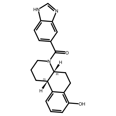 O=C(c1ccc2[nH]cnc2c1)N1CCC[C@H]2c3cccc(O)c3CC[C@H]21